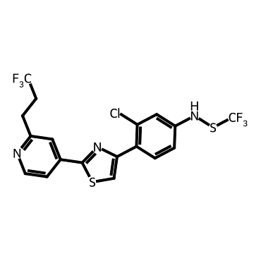 FC(F)(F)CCc1cc(-c2nc(-c3ccc(NSC(F)(F)F)cc3Cl)cs2)ccn1